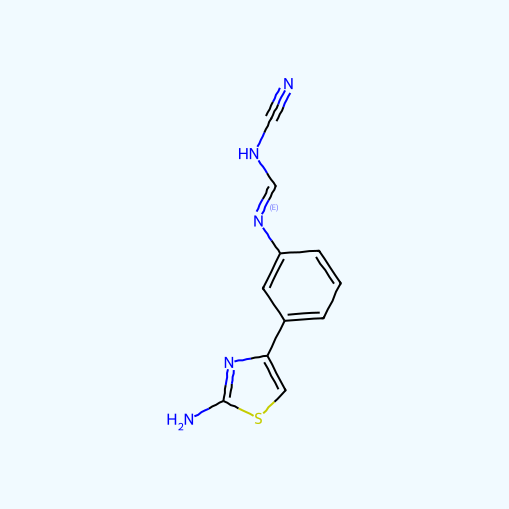 N#CN/C=N/c1cccc(-c2csc(N)n2)c1